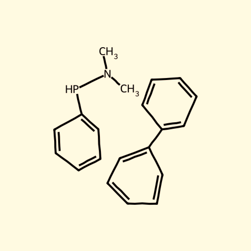 CN(C)Pc1ccccc1.c1ccc(-c2ccccc2)cc1